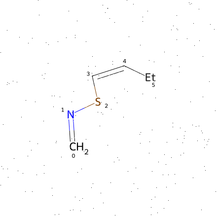 C=NS/C=C\CC